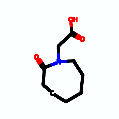 O=C(O)CN1CCCCCCC1=O